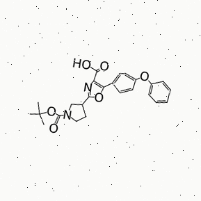 CC(C)(C)OC(=O)N1CCC(c2nc(C(=O)O)c(-c3ccc(Oc4ccccc4)cc3)o2)C1